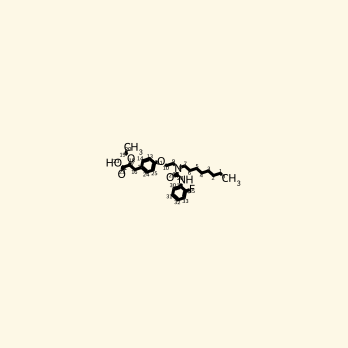 CCCCCCCCN(CCOc1ccc(CC(OCC)C(=O)O)cc1)C(=O)Nc1ccccc1F